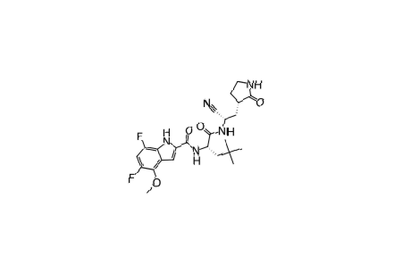 COc1c(F)cc(F)c2[nH]c(C(=O)N[C@@H](CC(C)(C)C)C(=O)N[C@H](C#N)C[C@@H]3CCNC3=O)cc12